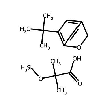 CC(C)(C)c1cc2ccc1OC2.CC(C)(O[SiH3])C(=O)O